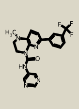 CN1CCN(C(=O)Nc2cncnc2)c2nc(-c3cccc(C(F)(F)F)c3)ccc21